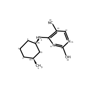 C[C@H]1CCC[C@@H](Nc2nc(O)ncc2C#N)C1